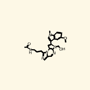 COc1ccc2c(c1)c(-c1cc3c(ncc4cnc(CCCNC(C)=O)n43)n1CO)cn2C